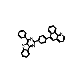 c1ccc(-c2nc(-c3ccc(-c4cc5cccnc5c5ccccc45)cc3)nc3c2sc2ccccc23)cc1